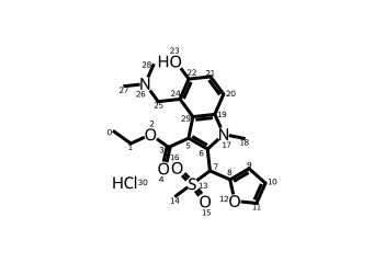 CCOC(=O)c1c(C(c2ccco2)S(C)(=O)=O)n(C)c2ccc(O)c(CN(C)C)c12.Cl